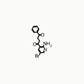 Nc1ncc(Br)cc1C(=O)CCC(=O)c1ccccc1